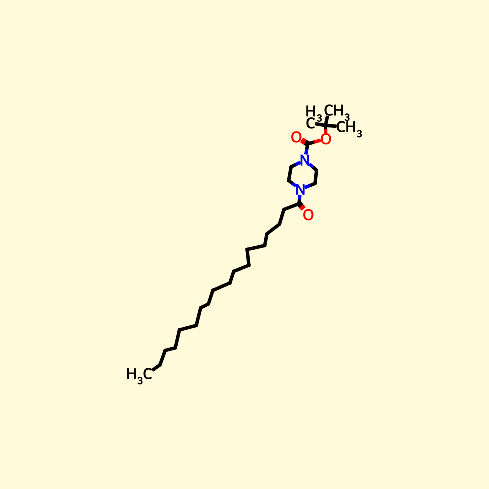 CCCCCCCCCCCCCCCCCC(=O)N1CCN(C(=O)OC(C)(C)C)CC1